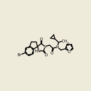 CC(C1CC1)N(Cc1ccco1)C(=O)CN1C(=O)NC2(CCc3cc(Br)ccc32)C1=O